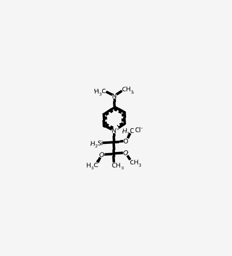 COC(C)(OC)C([SiH3])(OC)[n+]1ccc(N(C)C)cc1.[Cl-]